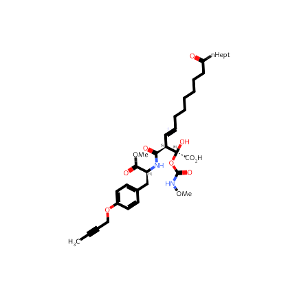 CC#CCOc1ccc(C[C@H](NC(=O)[C@@H](/C=C/CCCCCCC(=O)CCCCCCC)[C@@](O)(OC(=O)NOC)C(=O)O)C(=O)OC)cc1